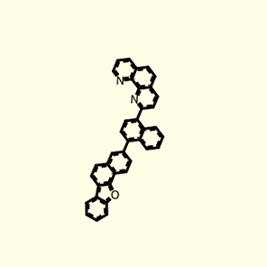 c1cnc2c(c1)ccc1ccc(-c3ccc(-c4ccc5c(ccc6c7ccccc7oc56)c4)c4ccccc34)nc12